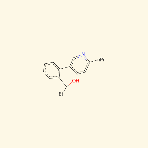 CCCc1ccc(-c2ccccc2C(O)CC)cn1